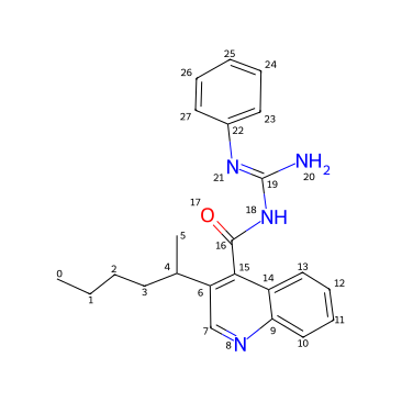 CCCCC(C)c1cnc2ccccc2c1C(=O)NC(N)=Nc1ccccc1